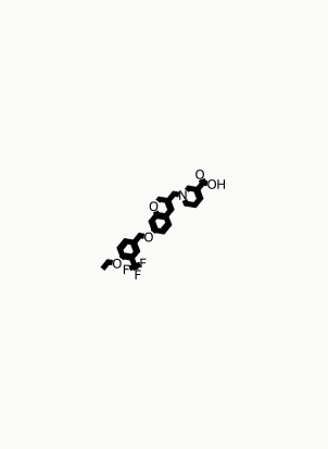 CCOc1ccc(COc2ccc3c(c2)OCC(CN2CCC=C(C(=O)O)C2)=C3)cc1C(F)(F)F